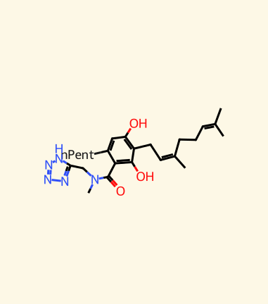 CCCCCc1cc(O)c(CC=C(C)CCC=C(C)C)c(O)c1C(=O)N(C)Cc1nnn[nH]1